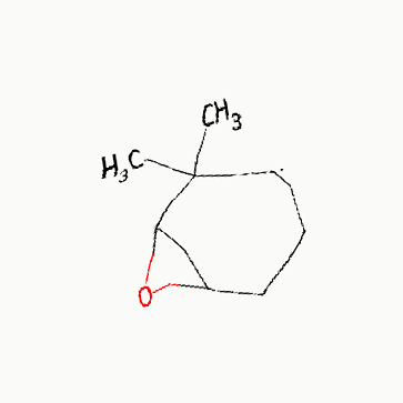 CC1(C)[CH]CCC2OC21